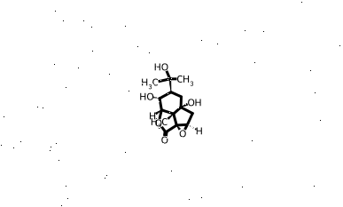 CC(C)(O)[C@H]1C[C@]2(O)C[C@H]3O[C@]34C(=O)O[C@H]([C@@H]1O)[C@]24C